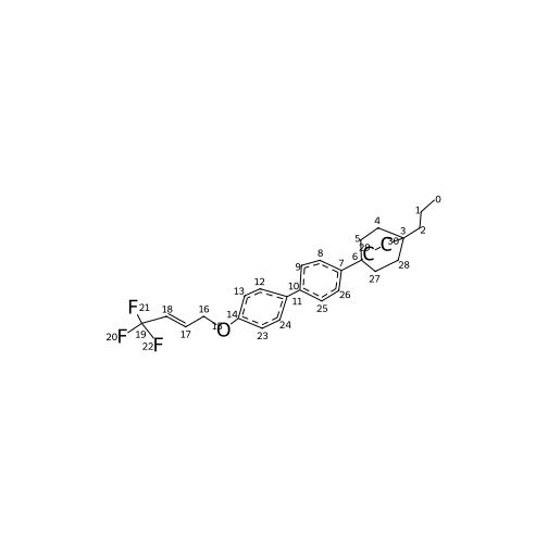 CCCC12CCC(c3ccc(-c4ccc(OCC=CC(F)(F)F)cc4)cc3)(CC1)CC2